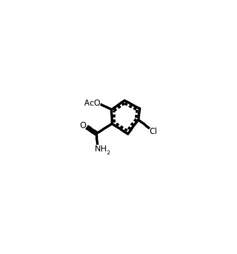 CC(=O)Oc1ccc(Cl)cc1C(N)=O